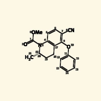 COC(=O)N1c2ccc(C#N)c(Oc3ccccc3)c2CC[C@@H]1C